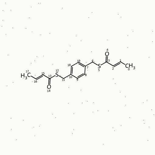 CC=CC(=O)SCc1ccc(CSC(=O)C=CC)cc1